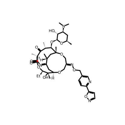 CCC(=O)/N=C1/C[C@H]2OC/C(=N\OCc3ccc(-c4ccno4)nc3)CO[C@](C)(C[C@H]1C)[C@H](O[C@@H]1O[C@H](C)C[C@H](N(C)C)[C@H]1O)[C@@H](C)C(=O)[C@@H](C)C(=O)O[C@H](CC)[C@@]2(C)O